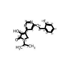 CC(C)N1CC(c2cc(OCc3ccccc3F)ncn2)=C(O)C1=O